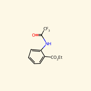 CCOC(=O)c1ccccc1NC(=O)C(F)(F)F